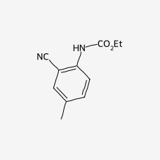 CCOC(=O)Nc1ccc(C)cc1C#N